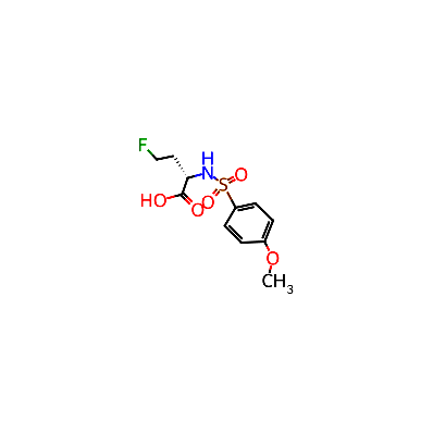 COc1ccc(S(=O)(=O)N[C@@H](CCF)C(=O)O)cc1